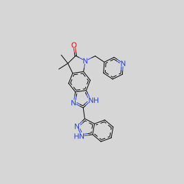 CC1(C)C(=O)N(Cc2cccnc2)c2cc3[nH]c(-c4n[nH]c5ccccc45)nc3cc21